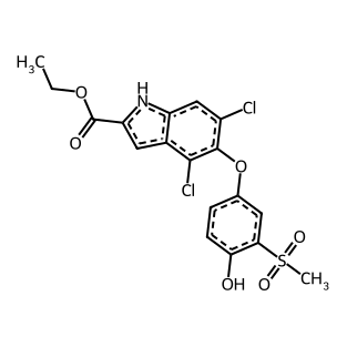 CCOC(=O)c1cc2c(Cl)c(Oc3ccc(O)c(S(C)(=O)=O)c3)c(Cl)cc2[nH]1